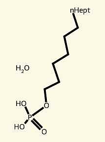 CCCCCCCCCCCCCOP(=O)(O)O.O